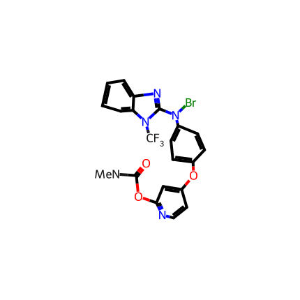 CNC(=O)Oc1cc(Oc2ccc(N(Br)c3nc4ccccc4n3C(F)(F)F)cc2)ccn1